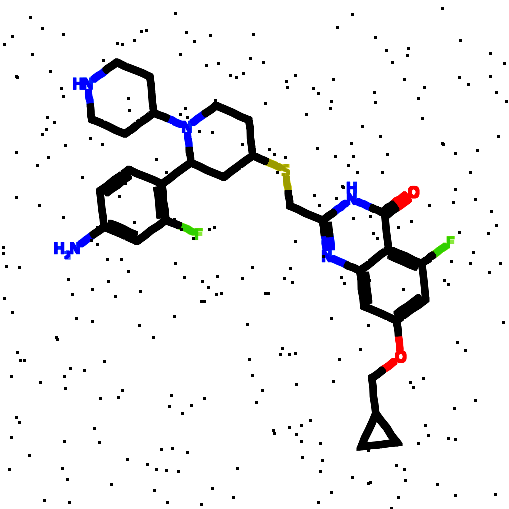 Nc1ccc(C2CC(SCc3nc4cc(OCC5CC5)cc(F)c4c(=O)[nH]3)CCN2C2CCNCC2)c(F)c1